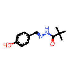 CC(C)(C)C(=O)N/N=C/c1ccc(O)cc1